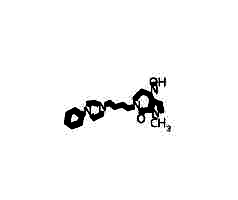 Cn1ccc2c1C(=O)N(CCCCN1CCN(c3ccccc3)CC1)CCC2=NO